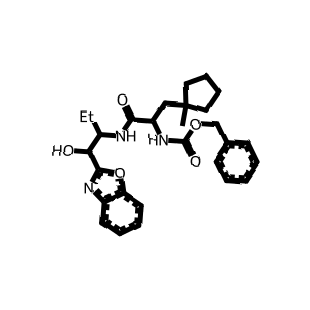 CCC(NC(=O)C(CC1(C)CCCC1)NC(=O)OCc1ccccc1)C(O)c1nc2ccccc2o1